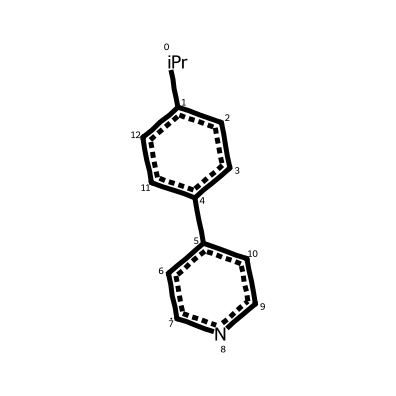 CC(C)c1ccc(-c2c[c]ncc2)cc1